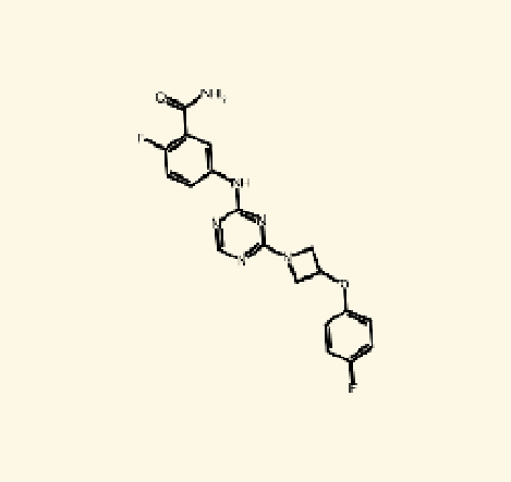 NC(=O)c1cc(Nc2ncnc(N3CC(Oc4ccc(F)cc4)C3)n2)ccc1F